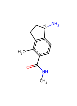 CNC(=O)c1ccc2c(c1C)CC[C@@H]2N